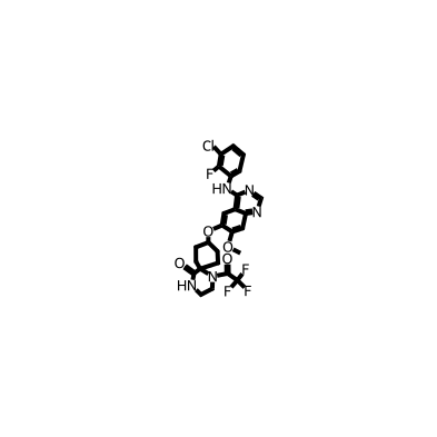 COc1cc2ncnc(Nc3cccc(Cl)c3F)c2cc1OC1CCC2(CC1)C(=O)NCCN2C(=O)C(F)(F)F